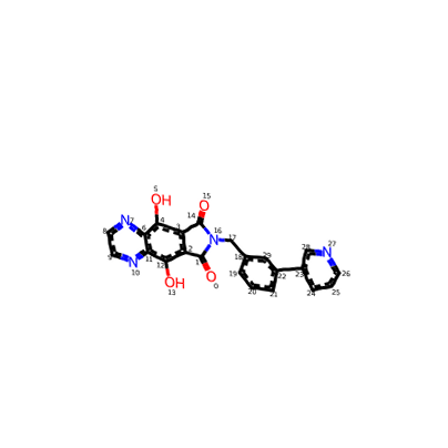 O=C1c2c(c(O)c3nccnc3c2O)C(=O)N1Cc1cccc(-c2cccnc2)c1